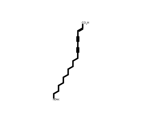 CCCCCCCCCCCCCCCCCCCCC#CC#CC=CC(=O)O